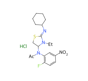 CCN1C(=NC2CCCCC2)SCC1N(C(C)=O)c1cc([N+](=O)[O-])ccc1F.Cl